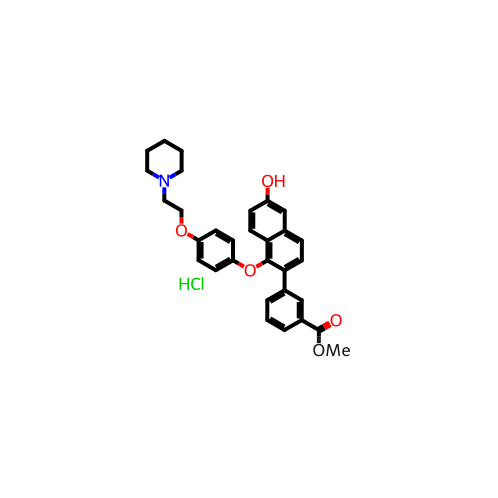 COC(=O)c1cccc(-c2ccc3cc(O)ccc3c2Oc2ccc(OCCN3CCCCC3)cc2)c1.Cl